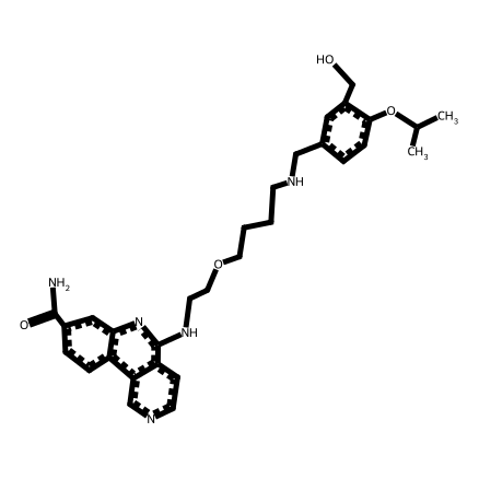 CC(C)Oc1ccc(CNCCCCOCCNc2nc3cc(C(N)=O)ccc3c3cnccc23)cc1CO